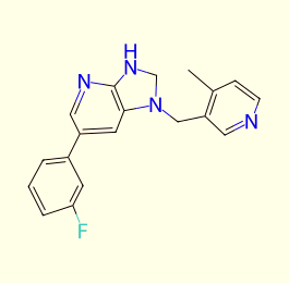 Cc1ccncc1CN1CNc2ncc(-c3cccc(F)c3)cc21